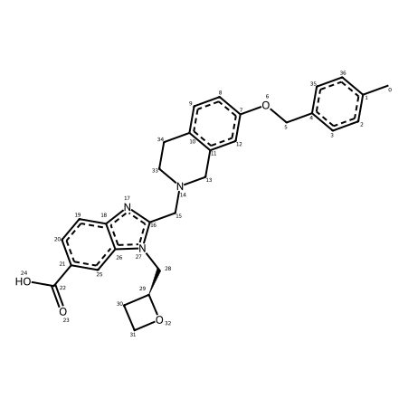 Cc1ccc(COc2ccc3c(c2)CN(Cc2nc4ccc(C(=O)O)cc4n2C[C@@H]2CCO2)CC3)cc1